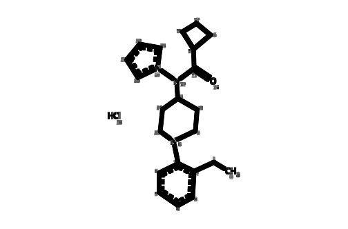 CCc1ccccc1N1CCC(N(C(=O)C2CCC2)n2cccc2)CC1.Cl